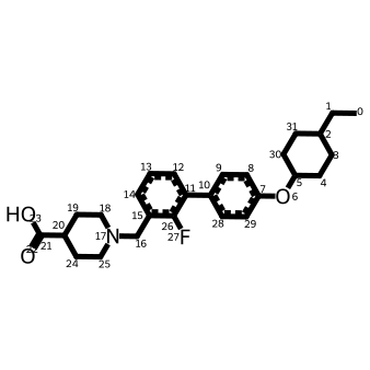 CCC1CCC(Oc2ccc(-c3cccc(CN4CCC(C(=O)O)CC4)c3F)cc2)CC1